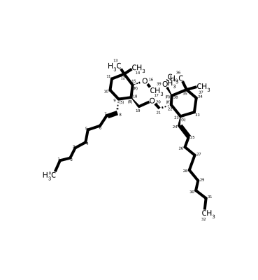 CCCCCCCC=C[C@@H]1CCC(C)(C)[C@H](OC)[C@H]1COC[C@H]1[C@H](C=CCCCCCCC)CCC(C)(C)[C@@H]1OC